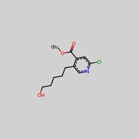 CC(C)(C)OC(=O)c1cc(Cl)ncc1CCCCCO